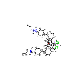 C=CC[N+](C)(C)c1ccc(-c2cccc3c2C=C(C)[CH]3[Zr]([Cl])([Cl])([I])([I])([CH]2C(C)=Cc3c(-c4ccc([N+](C)(C)CC=C)cc4)cccc32)[SiH](C)C)cc1